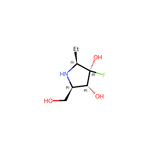 CC[C@@H]1N[C@H](CO)[C@@H](O)[C@]1(O)F